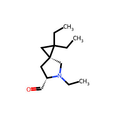 CCN1C[C@]2(C[C@H]1C=O)CC2(CC)CC